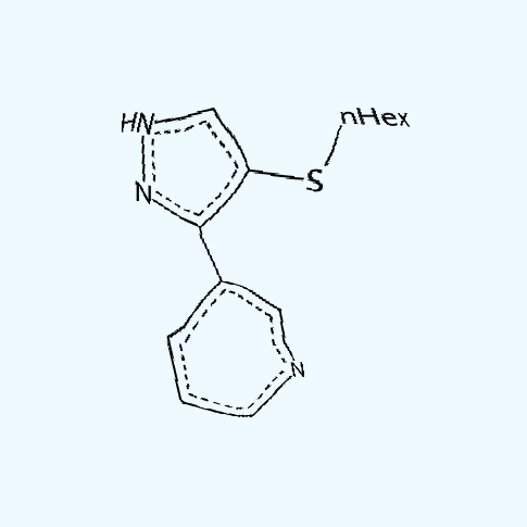 CCCCCCSc1c[nH]nc1-c1cccnc1